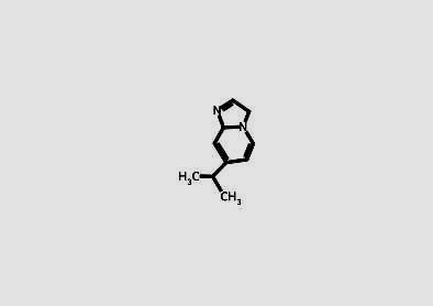 CC(C)C1=CC2N=CCN2C=C1